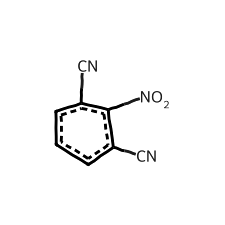 N#Cc1cccc(C#N)c1[N+](=O)[O-]